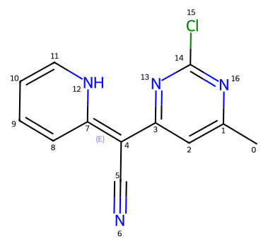 Cc1cc(/C(C#N)=C2/C=CC=CN2)nc(Cl)n1